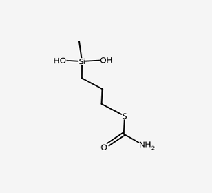 C[Si](O)(O)CCCSC(N)=O